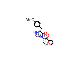 COc1ccc(C[C@H](NC(=O)O)C(=O)N[C@@H](CC(C)C)C(=O)c2ccco2)cc1